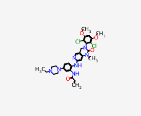 C=CC(=O)Nc1cc(N2CCN(CC)CC2)ccc1Nc1cc2c(cn1)CN(c1c(Cl)c(OC)cc(OC)c1Cl)C(=O)N2C